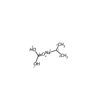 C[CH](C)[Na].O=C(O)O